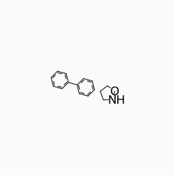 C1CNOC1.c1ccc(-c2ccccc2)cc1